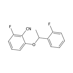 CC(Oc1cccc(F)c1C#N)c1ccccc1F